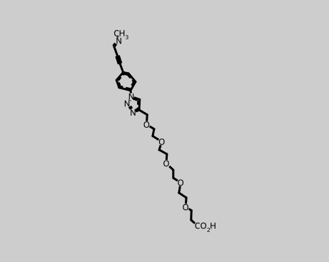 CN=CC#Cc1ccc(-n2cc(COCCOCCOCCOCCOCCC(=O)O)nn2)cc1